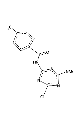 CNc1nc(Cl)nc(NC(=O)c2ccc(C(F)(F)F)cc2)n1